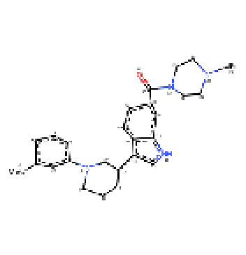 COc1cccc(N2CCCC(c3c[nH]c4cc(C(=O)N5CCN(C(C)C)CC5)ccc34)C2)c1